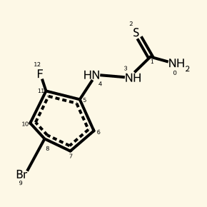 NC(=S)NNc1ccc(Br)cc1F